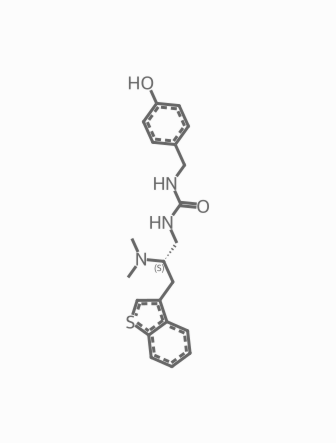 CN(C)[C@H](CNC(=O)NCc1ccc(O)cc1)Cc1csc2ccccc12